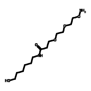 NOCCOCCOCCC(=O)NCCCCCCO